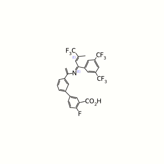 C=C(/N=C(\C=C(/C)C(F)(F)F)c1cc(C(F)(F)F)cc(C(F)(F)F)c1)c1cccc(-c2ccc(F)c(C(=O)O)c2)c1